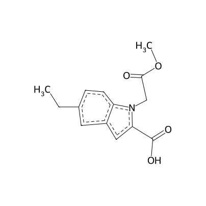 CCc1ccc2c(c1)cc(C(=O)O)n2CC(=O)OC